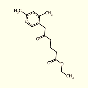 CCOC(=O)CCCC(=O)Cc1ccc(C)cc1C